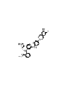 CCOc1ccccc1Nc1cc(Nc2ccc(N3CCC4(CC3)CNC(=O)C4)cn2)ncc1C(N)=O